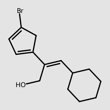 OC/C(=C\C1CCCCC1)C1=CC=C(Br)C1